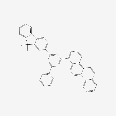 CC1(C)c2ccccc2-c2ccc(-c3nc(-c4ccccc4)nc(-c4cccc5c4ccc4c6ccccc6ccc54)n3)cc21